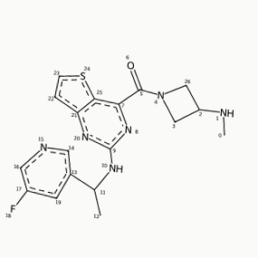 CNC1CN(C(=O)c2nc(NC(C)c3cncc(F)c3)nc3ccsc23)C1